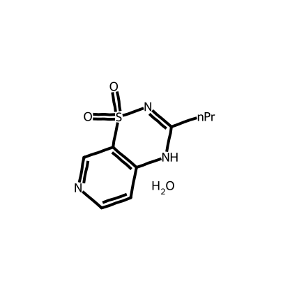 CCCC1=NS(=O)(=O)c2cnccc2N1.O